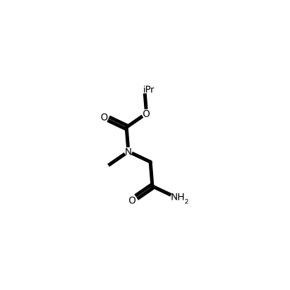 CC(C)OC(=O)N(C)CC(N)=O